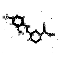 COC(=O)N1CCO[C@@H](CNc2ccc(C)nc2N)C1